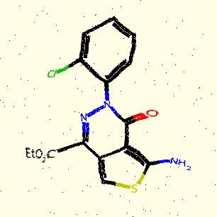 CCOC(=O)c1nn(-c2ccccc2Cl)c(=O)c2c(N)scc12